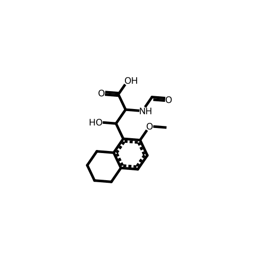 COc1ccc2c(c1C(O)C(NC=O)C(=O)O)CCCC2